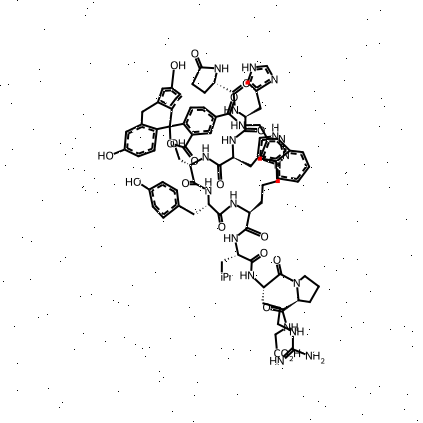 CC(C)C[C@H](NC(=O)[C@H](CCCn1cc(CNC(=O)c2ccc3c(c2)C(=O)OC32c3ccc(O)cc3Cc3cc(O)ccc32)nn1)NC(=O)[C@H](Cc1ccc(O)cc1)NC(=O)[C@H](CO)NC(=O)[C@H](Cc1c[nH]c2ccccc12)NC(=O)[C@H](Cc1c[nH]cn1)NC(=O)[C@@H]1CCC(=O)N1)C(=O)N[C@@H](CCCNC(=N)N)C(=O)N1CCC[C@H]1C(=O)NCC(=O)O